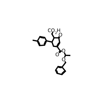 Cc1ccc(C2CC(C(=O)OC(C)OCc3ccccc3)=CC(=O)C2CC(=O)O)cc1